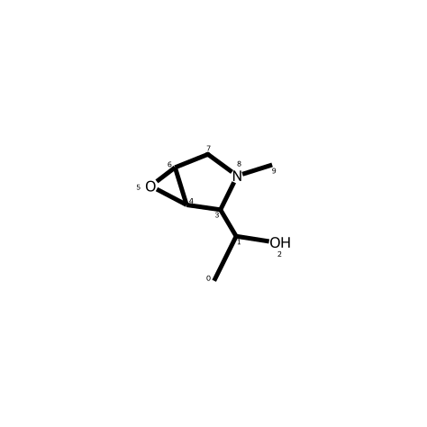 CC(O)C1C2OC2CN1C